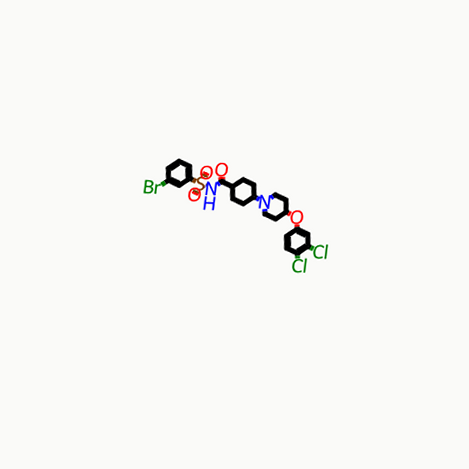 O=C(NS(=O)(=O)c1cccc(Br)c1)C1CCC(N2CCC(Oc3ccc(Cl)c(Cl)c3)CC2)CC1